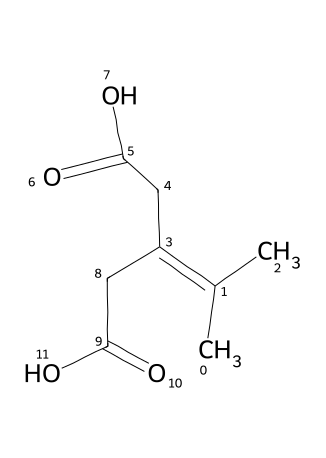 CC(C)=C(CC(=O)O)CC(=O)O